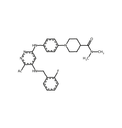 CC(=O)c1nnc(Nc2ccc(N3CCC(C(=O)N(C)C)CC3)cc2)cc1NCc1ccccc1F